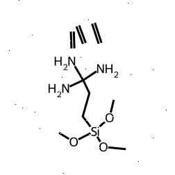 C=C.C=C.C=C.CO[Si](CCC(N)(N)N)(OC)OC